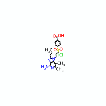 CCCc1nc2c(N)nc(C)c(C)c2n1CCCS(=O)(=O)c1ccc(C(=O)O)cc1.Cl